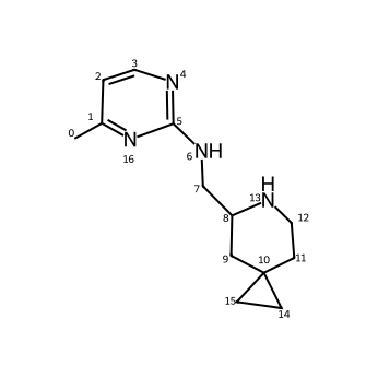 Cc1ccnc(NCC2CC3(CCN2)CC3)n1